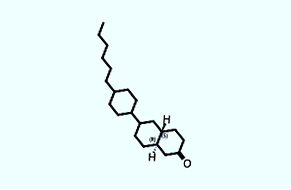 CCCCCCC1CCC(C2CC[C@@H]3CC(=O)CC[C@H]3C2)CC1